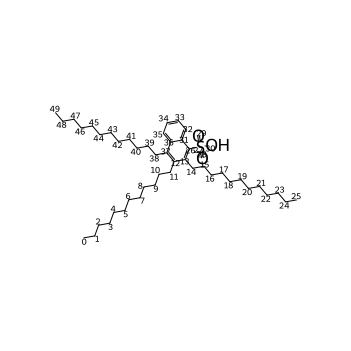 CCCCCCCCCCCCc1c(CCCCCCCCCCCC)c(S(=O)(=O)O)c2ccccc2c1CCCCCCCCCCCC